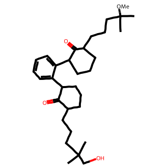 COC(C)(C)CCCC1CCCC(c2ccccc2C2CCCC(CCCC(C)(C)CO)C2=O)C1=O